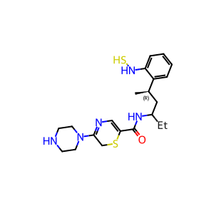 CCC(C[C@@H](C)c1ccccc1NS)NC(=O)C1=CN=C(N2CCNCC2)CS1